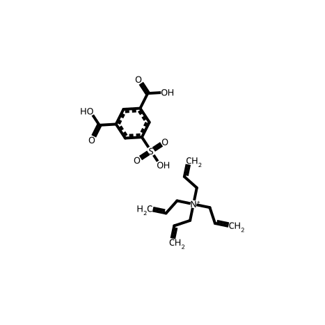 C=CC[N+](CC=C)(CC=C)CC=C.O=C(O)c1cc(C(=O)O)cc(S(=O)(=O)O)c1